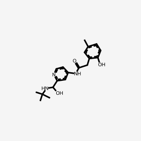 Cc1ccc(O)c(CC(=O)Nc2ccnc(C(O)NC(C)(C)C)c2)c1